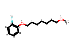 CCOCCCCCCCOc1ccc[c]c1F